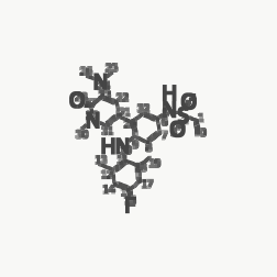 C=CS(=O)(=O)Nc1ccc(Nc2c(C)cc(F)cc2C)c(-c2cc(N(C)C)c(=O)n(C)c2)c1